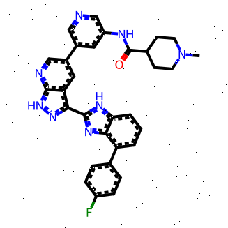 CN1CCC(C(=O)Nc2cncc(-c3cnc4[nH]nc(-c5nc6c(-c7ccc(F)cc7)cccc6[nH]5)c4c3)c2)CC1